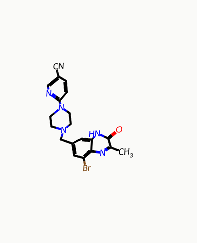 Cc1nc2c(Br)cc(CN3CCN(c4ccc(C#N)cn4)CC3)cc2[nH]c1=O